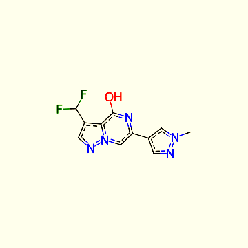 Cn1cc(-c2cn3ncc(C(F)F)c3c(O)n2)cn1